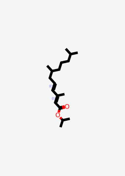 CC(/C=C/CC(C)CCCC(C)C)=C\C(=O)OC(C)C